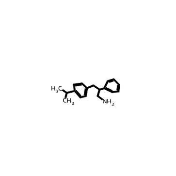 CC(C)c1ccc(CC(CN)c2ccccc2)cc1